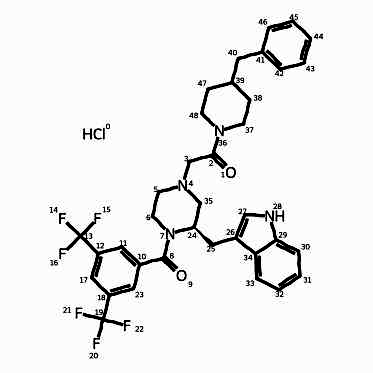 Cl.O=C(CN1CCN(C(=O)c2cc(C(F)(F)F)cc(C(F)(F)F)c2)[C@H](Cc2c[nH]c3ccccc23)C1)N1CCC(Cc2ccccc2)CC1